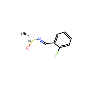 CC(C)(C)[S@@+]([O-])N=Cc1ccccc1F